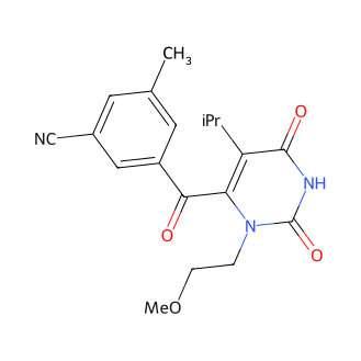 COCCn1c(C(=O)c2cc(C)cc(C#N)c2)c(C(C)C)c(=O)[nH]c1=O